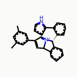 Cc1cc(C)cc(C2=CC3c4ccccc4[C@@H](c4ccccc4-c4ccc[nH]4)[N+]3=C2)c1